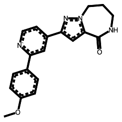 COc1ccc(-c2cc(-c3cc4n(n3)CCCNC4=O)ccn2)cc1